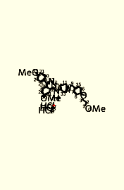 COCCCOc1ccc(CN2CCC(Nc3nnc(-c4ccc(OC)cc4)c4ccc(OC)cc34)CC2)cc1.Cl.Cl.Cl